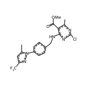 COC(=O)c1c(C)nc(Cl)nc1NCc1ccc(-n2nc(C(F)(F)F)cc2C)cc1